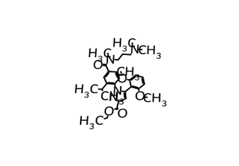 CCOC(=O)c1cc(-c2c(OC)cccc2OC)n(-c2ccc(C(=O)N(C)CCCN(C)C)cc2C(C)C)n1